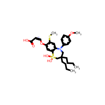 CCCCC1(CCCC)CN(c2ccc(OC)cc2)c2cc(SC)c(O/C=C\C(=O)O)cc2S(O)(O)C1